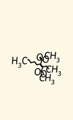 CCCCCC(C(=O)OC)=C(CC)C(=O)OC